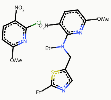 CCc1ncc(CN(CC)c2nc(OC)ccc2[N+](=O)[O-])s1.COc1ccc([N+](=O)[O-])c(Cl)n1